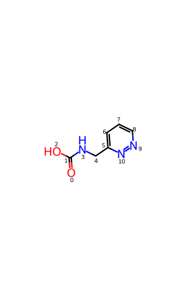 O=C(O)NCc1cccnn1